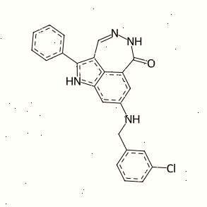 O=C1NN=Cc2c(-c3ccccc3)[nH]c3cc(NCc4cccc(Cl)c4)cc1c23